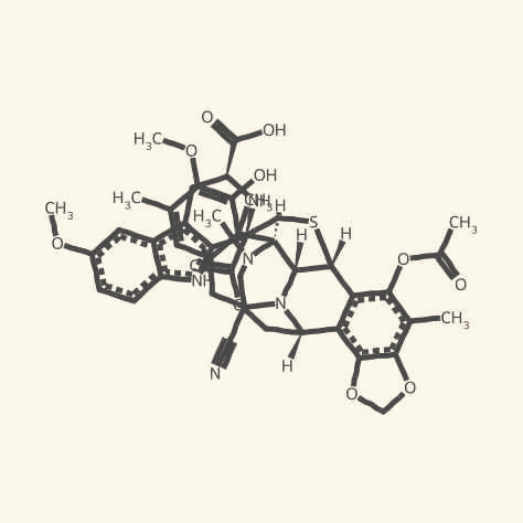 COC1=C(O)C2(C)C(C=C1C)CC1(C#N)CN(C)[C@@H]2[C@@H]2[C@@H]3SC[C@]4(N[C@H](C(=O)O)Cc5c4[nH]c4ccc(OC)cc54)C(=O)OC[C@@H](c4c5c(c(C)c(OC(C)=O)c43)OCO5)N21